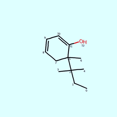 CCC(C)(C)C1(C)CC=CC=C1O